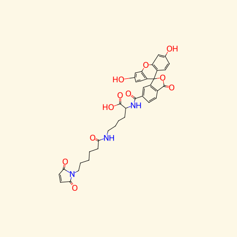 O=C(CCCCCN1C(=O)C=CC1=O)NCCCCC(NC(=O)c1ccc2c(c1)C1(OC2=O)c2ccc(O)cc2Oc2cc(O)ccc21)C(=O)O